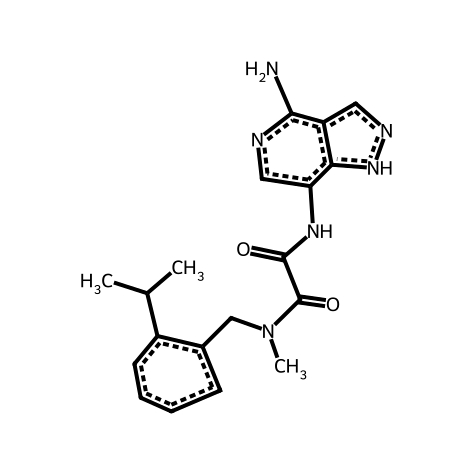 CC(C)c1ccccc1CN(C)C(=O)C(=O)Nc1cnc(N)c2cn[nH]c12